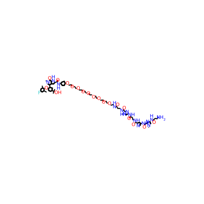 Cc1cc(F)cc(C)c1Oc1ccc(C(C)(C)O)cc1-c1cn(C)c(=O)c2[nH]c(C(=O)Nc3ccc(OCCOCCOCCOCCOCCOCCOCCOCCOCCNC(=O)CCNC(=O)c4nc(NC(=O)CCNC(=O)c5cc(NC(=O)c6nc(NC(=O)CCN)cn6C)cn5C)cn4C)cc3)cc12